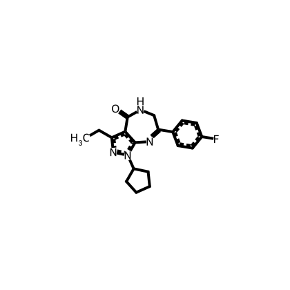 CCc1nn(C2CCCC2)c2c1C(=O)NCC(c1ccc(F)cc1)=N2